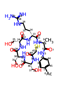 CC(=O)c1ccc(NC(=O)[C@@H](C)NC(=O)[C@@H](CCCNC(=N)N)NC(=O)[C@@H](CO)NC(=O)[C@@H](CO)NC(=O)[C@@H](CO)NC(=O)CS)cc1